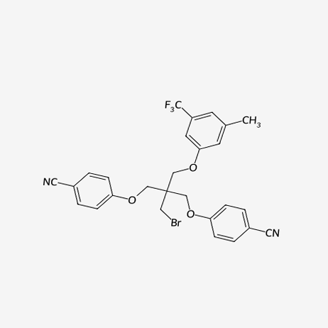 Cc1cc(OCC(CBr)(COc2ccc(C#N)cc2)COc2ccc(C#N)cc2)cc(C(F)(F)F)c1